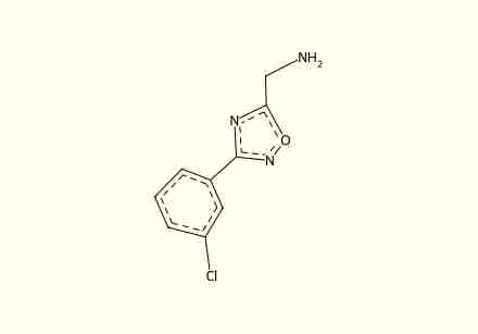 NCc1nc(-c2cccc(Cl)c2)no1